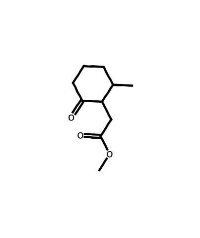 COC(=O)CC1C(=O)CCCC1C